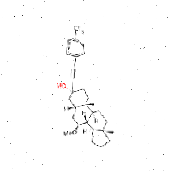 CO[C@H]1C[C@@H]2C[C@@](O)(C#Cc3ccc(C(F)(F)F)cc3)CC[C@]2(C)[C@H]2CC[C@]3(C)CCC[C@H]3[C@H]12